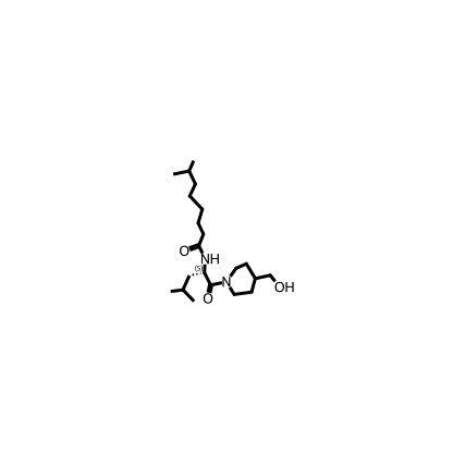 CC(C)CCCCCC(=O)N[C@@H](CC(C)C)C(=O)N1CCC(CO)CC1